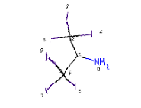 NC(C(I)(I)I)C(I)(I)I